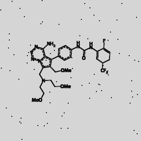 COCCN(CCOC)Cc1c(COC)c(-c2ccc(NC(=O)NC3=CC(C(F)(F)F)CC=C3F)cc2)c2c(N)ncnn12